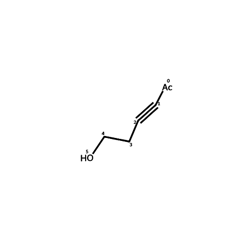 CC(=O)C#CCCO